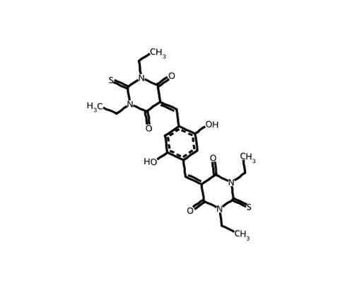 CCN1C(=O)C(=Cc2cc(O)c(C=C3C(=O)N(CC)C(=S)N(CC)C3=O)cc2O)C(=O)N(CC)C1=S